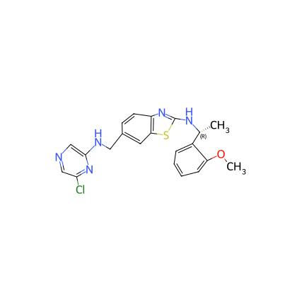 COc1ccccc1[C@@H](C)Nc1nc2ccc(CNc3cncc(Cl)n3)cc2s1